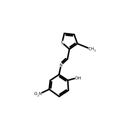 Cc1ccsc1C=Nc1cc([N+](=O)[O-])ccc1O